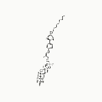 CCCCCCCCCOc1cnc(-c2ccc(OC[C@H](C)COCC(F)(F)OC(F)(F)C(F)(F)OC(F)(F)C(F)(F)C(F)(F)C(F)(F)F)cc2)nc1